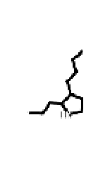 [CH2]CCC1NCCC1CCCC